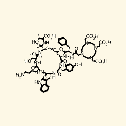 C[C@@H](O)C(NC(=O)[C@@H]1CSCC[C@H](NC(=O)[C@@H](Cc2ccccc2)NC(=O)CN2CCN(CC(=O)O)CCN(CC(=O)O)CCN(CC(=O)O)CC2)C(=O)N[C@@H](Cc2ccc(O)cc2)C(=O)N[C@H](Cc2c[nH]c3ccccc23)C(=O)N[C@@H](CCCCN)C(=O)NC([C@@H](C)O)C(=O)N1)C(=O)O